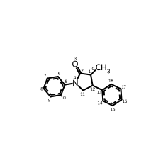 CC1C(=O)N(c2ccccc2)CC1c1ccccc1